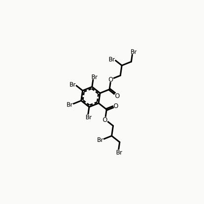 O=C(OCC(Br)CBr)c1c(Br)c(Br)c(Br)c(Br)c1C(=O)OCC(Br)CBr